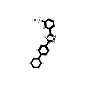 O=C(O)c1cccc(-c2nnc(-c3ccc(C4CCCCC4)cc3)o2)c1